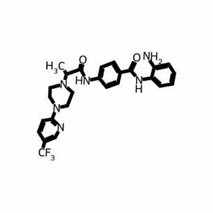 CC(C(=O)Nc1ccc(C(=O)Nc2ccccc2N)cc1)N1CCN(c2ccc(C(F)(F)F)cn2)CC1